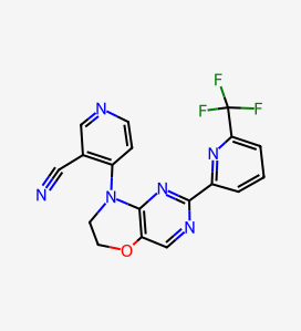 N#Cc1cnccc1N1CCOc2cnc(-c3cccc(C(F)(F)F)n3)nc21